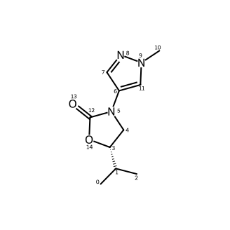 CC(C)[C@H]1CN(c2cnn(C)c2)C(=O)O1